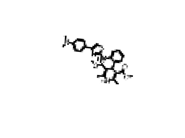 COC(=O)C1=C(C)NC(C)=C(C(=O)OC)C1c1ccccc1Nc1nc(-c2ccc(N(C)C)cc2)cs1